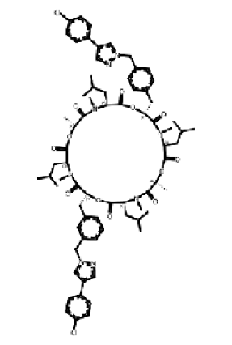 CC(C)C[C@H]1C(=O)O[C@H](Cc2cccc(Cn3cc(-c4ccc(Cl)cc4)cn3)c2)C(=O)N(C)[C@@H](CC(C)C)C(=O)O[C@H](C)C(=O)N(C)[C@@H](CC(C)C)C(=O)O[C@H](Cc2ccc(Cn3cc(-c4ccc(Cl)cc4)cn3)cc2)C(=O)N(C)[C@@H](CC(C)C)C(=O)O[C@H](C)C(=O)N1C